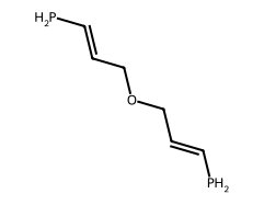 PC=CCOCC=CP